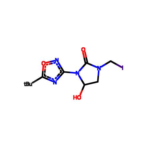 CC(C)(C)c1nc(N2C(=O)N(CI)CC2O)no1